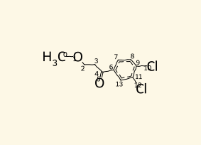 COCCC(=O)c1ccc(Cl)c(Cl)c1